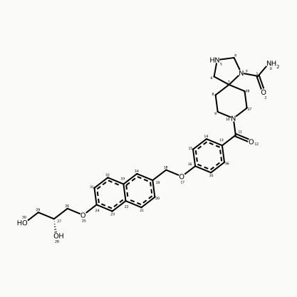 NC(=O)N1CNCC12CCN(C(=O)c1ccc(OCc3ccc4cc(OC[C@H](O)CO)ccc4c3)cc1)CC2